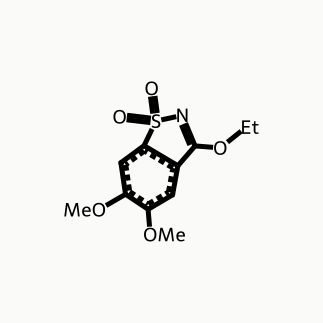 CCOC1=NS(=O)(=O)c2cc(OC)c(OC)cc21